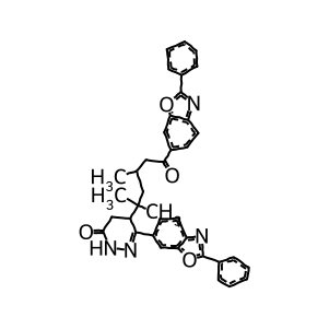 CC(CC(=O)c1ccc2nc(-c3ccccc3)oc2c1)CC(C)(C)C1CC(=O)NN=C1c1ccc2nc(-c3ccccc3)oc2c1